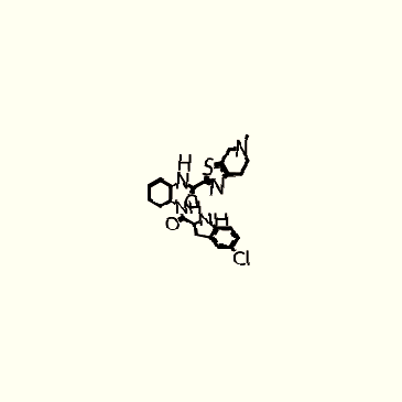 CN1CCc2nc(C(=O)N[C@@H]3CCCC[C@@H]3NC(=O)C3Cc4cc(Cl)ccc4N3)sc2C1